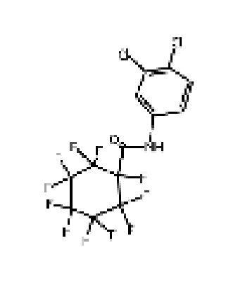 O=C(Nc1ccc(Cl)c(Cl)c1)C1(F)C(F)(F)C(F)(F)C(F)(F)C(F)(F)C1(F)F